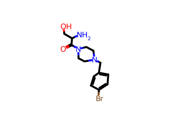 NC(CO)C(=O)N1CCN(Cc2ccc(Br)cc2)CC1